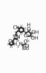 CCC(C)C(N)C(=O)OC[C@@H]1O[C@@H](c2ccc(Cl)c(Cc3ncc(-c4ccco4)s3)c2)[C@@H](O)[C@H](O)[C@@H]1O